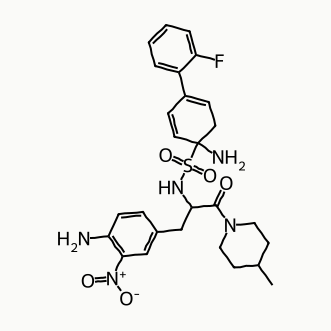 CC1CCN(C(=O)C(Cc2ccc(N)c([N+](=O)[O-])c2)NS(=O)(=O)C2(N)C=CC(c3ccccc3F)=CC2)CC1